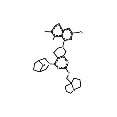 Oc1cc(N2CCc3c(nc(OCC45CCCN4CCC5)nc3N3CC4CCC(C3)N4)C2)c2c(F)c(F)ccc2c1